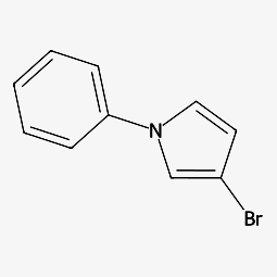 Brc1ccn(-c2ccccc2)c1